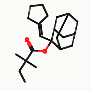 CCC(C)(C)C(=O)OC1(C=C2CCCC2)C2CC3CC(C2)CC1C3